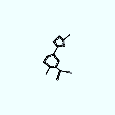 Cc1ccc(-c2ccc(C)c(C(N)=O)c2)o1